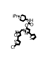 CC(C)N1CCC(NC(=O)Oc2cc(-c3cccs3)nn2Cc2cc(-c3ccc(Cl)s3)on2)CC1